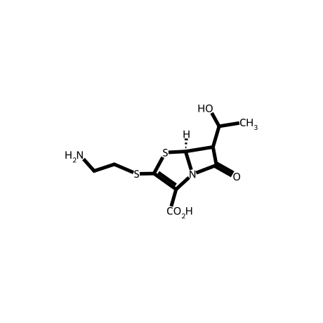 CC(O)C1C(=O)N2C(C(=O)O)=C(SCCN)S[C@@H]12